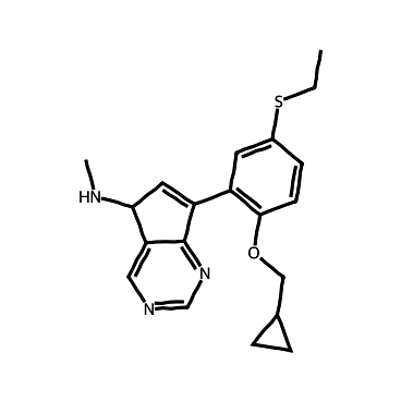 CCSc1ccc(OCC2CC2)c(C2=CC(NC)c3cncnc32)c1